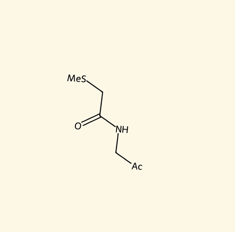 CSCC(=O)NCC(C)=O